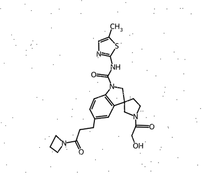 Cc1cnc(NC(=O)N2CC3(CCN(C(=O)CO)C3)c3cc(CCC(=O)N4CCC4)ccc32)s1